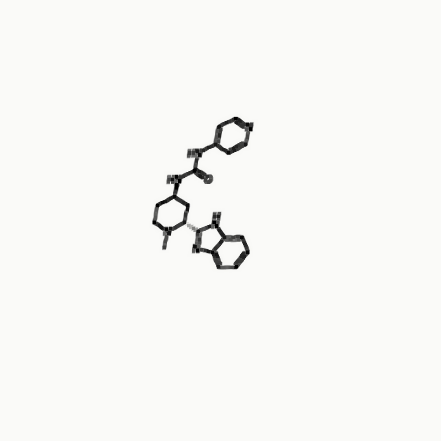 CN1CC[C@@H](NC(=O)Nc2ccncc2)C[C@@H]1c1nc2ccccc2[nH]1